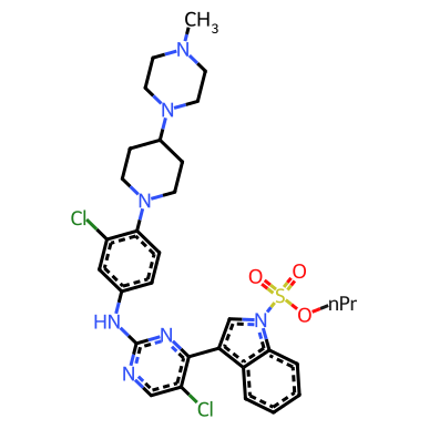 CCCOS(=O)(=O)n1cc(-c2nc(Nc3ccc(N4CCC(N5CCN(C)CC5)CC4)c(Cl)c3)ncc2Cl)c2ccccc21